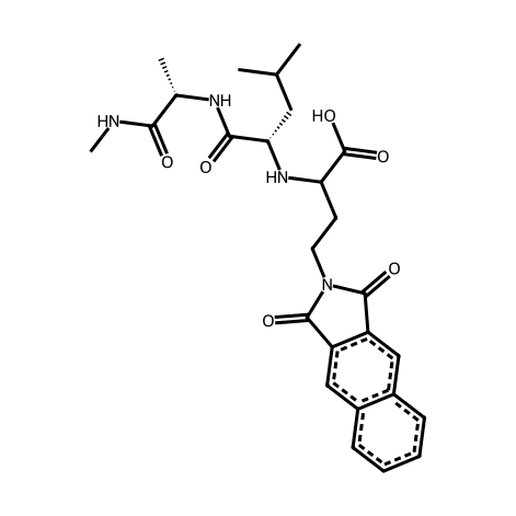 CNC(=O)[C@H](C)NC(=O)[C@H](CC(C)C)NC(CCN1C(=O)c2cc3ccccc3cc2C1=O)C(=O)O